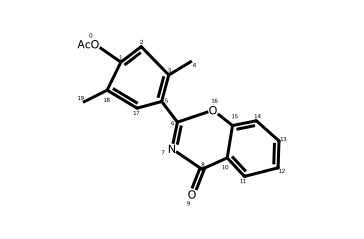 CC(=O)Oc1cc(C)c(-c2nc(=O)c3ccccc3o2)cc1C